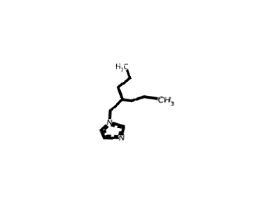 CCCC(CCC)Cn1ccnc1